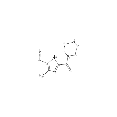 Cc1cc(C(=O)N2CCOCC2)[nH]c1C=O